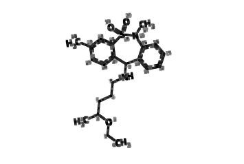 CCOC(C)CCCNC1c2ccccc2N(C)S(=O)(=O)c2cc(C)ccc21